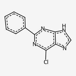 Clc1nc(-c2ccccc2)nc2[nH]cnc12